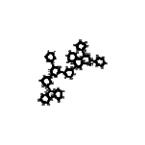 C1=C(c2nc(-c3ccccc3)cc(-c3cccc(C4c5ccccc5-c5ccccc54)c3)n2)C=C(c2cc3c(c4ccccc24)C(c2ccccc2)=CC(c2ccccc2)N3)CC1